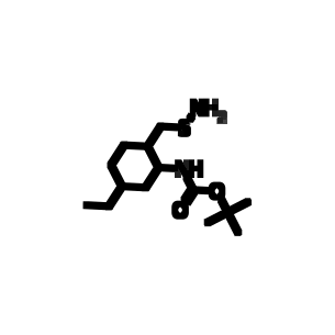 CCC1CCC(CSN)C(NC(=O)OC(C)(C)C)C1